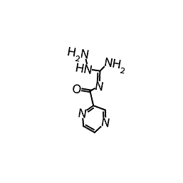 NNC(N)=NC(=O)c1cnccn1